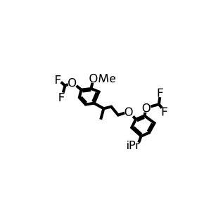 COc1cc(C(C)CCOc2cc(C(C)C)ccc2OC(F)F)ccc1OC(F)F